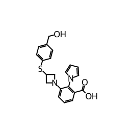 O=C(O)c1cccc(N2CC(Sc3ccc(CO)cc3)C2)c1-n1cccc1